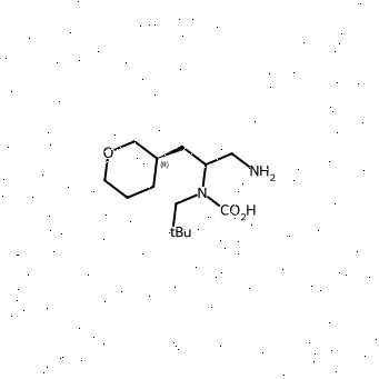 CC(C)(C)CN(C(=O)O)C(CN)C[C@H]1CCCOC1